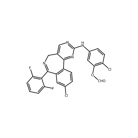 O=COc1cc(Nc2ncc3c(n2)-c2ccc(Cl)cc2C(c2c(F)cccc2F)=NC3)ccc1Cl